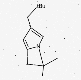 CC(C)(C)Cc1cc2n(c1)C(C)(C)C2